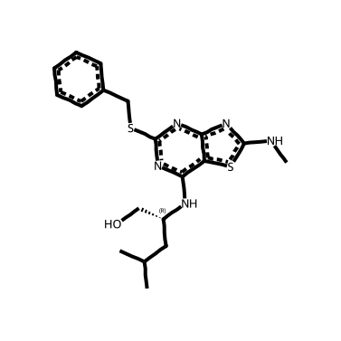 CNc1nc2nc(SCc3ccccc3)nc(N[C@@H](CO)CC(C)C)c2s1